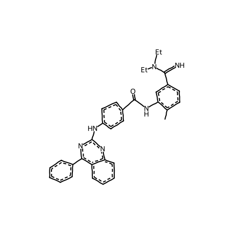 CCN(CC)C(=N)c1ccc(C)c(NC(=O)c2ccc(Nc3nc(-c4ccccc4)c4ccccc4n3)cc2)c1